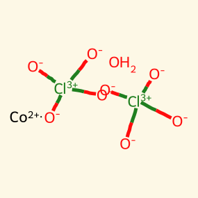 O.[Co+2].[O-][Cl+3]([O-])([O-])[O-].[O-][Cl+3]([O-])([O-])[O-]